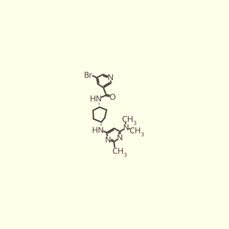 Cc1nc(N[C@H]2CC[C@@H](NC(=O)c3cncc(Br)c3)CC2)cc(N(C)C)n1